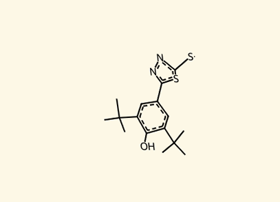 CC(C)(C)c1cc(-c2nnc([S])s2)cc(C(C)(C)C)c1O